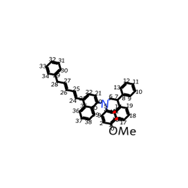 COc1ccc(N(CC(c2ccccc2)c2ccccc2)c2ccc(/C=C/C=C/Cc3ccccc3)c3ccccc23)cc1